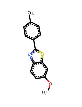 COc1ccc2nc(-c3ccc(C)cc3)sc2c1